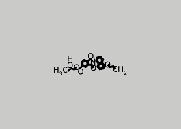 C=CCOc1cccc2c(N3C(=O)c4ccc(C(=O)OCC(O)CC)cc4C3=O)cccc12